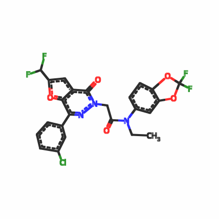 CCN(C(=O)Cn1nc(-c2cccc(Cl)c2)c2oc(C(F)F)cc2c1=O)c1ccc2c(c1)OC(F)(F)O2